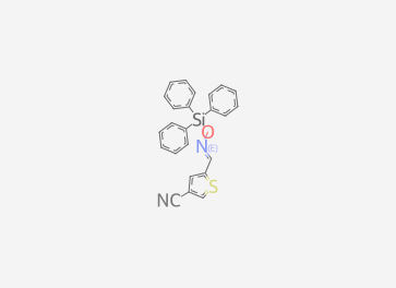 N#Cc1csc(/C=N/O[Si](c2ccccc2)(c2ccccc2)c2ccccc2)c1